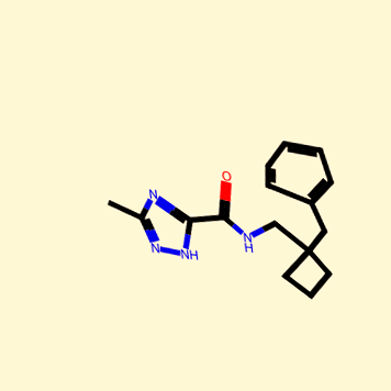 Cc1n[nH]c(C(=O)NCC2(Cc3ccccc3)CCC2)n1